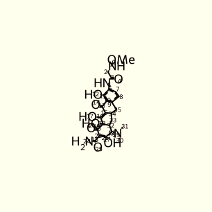 CONCC(=O)Nc1ccc2c(c1O)C(=O)C1=C(O)C3(O)C(=O)C(C(N)=O)=C(O)[C@@H](N(C)C)C3CC1C2